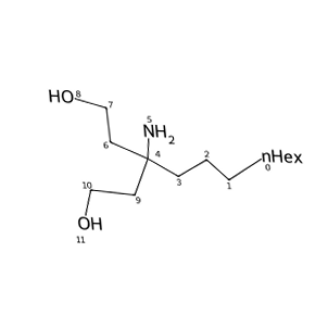 CCCCCCCCCC(N)(CCO)CCO